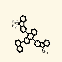 Cn1c2ccccc2c2cc(-c3c4ccccc4c(-c4ccc5c(c4)-c4ccccc4C5(C)C)c4cc(-c5cccc6ccccc56)ccc34)ccc21